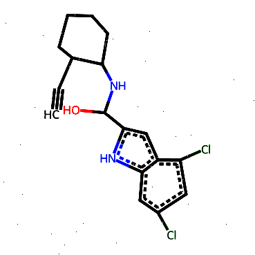 C#CC1CCCCC1NC(O)c1cc2c(Cl)cc(Cl)cc2[nH]1